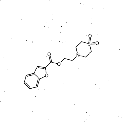 O=C(OCCN1CCS(=O)(=O)CC1)c1cc2ccccc2o1